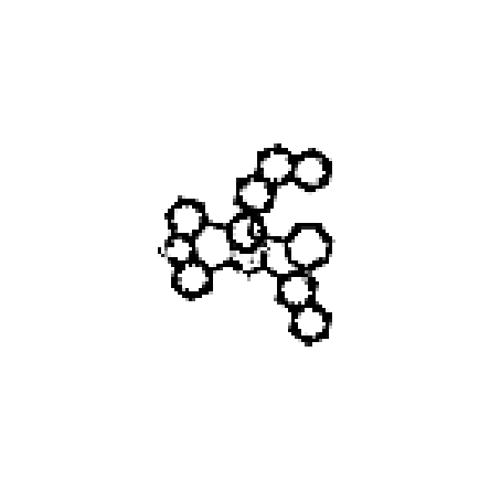 N/C(=N\C(=N/Cc1ccc2ccc3ccccc3c2c1)c1ccc2ccccc2c1)c1cccc2oc3cccc(-c4ccc(C5=CC=CC=CC5)cc4)c3c12